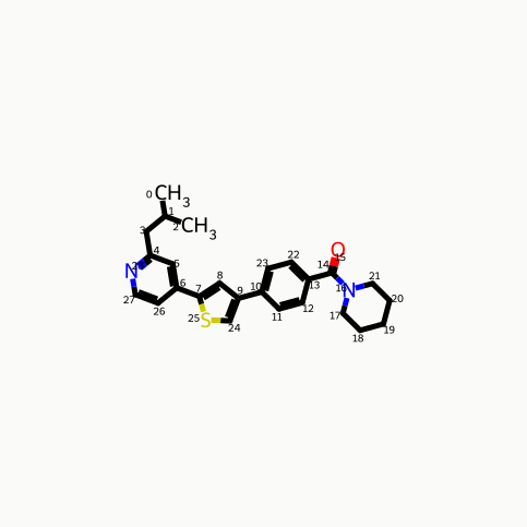 CC(C)Cc1cc(-c2cc(-c3ccc(C(=O)N4CCCCC4)cc3)cs2)ccn1